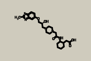 Cc1nc2cc(OC[C@H](O)CN3CCN(CC(=O)NC4CCCCC4CC(=O)O)CC3)ccc2s1